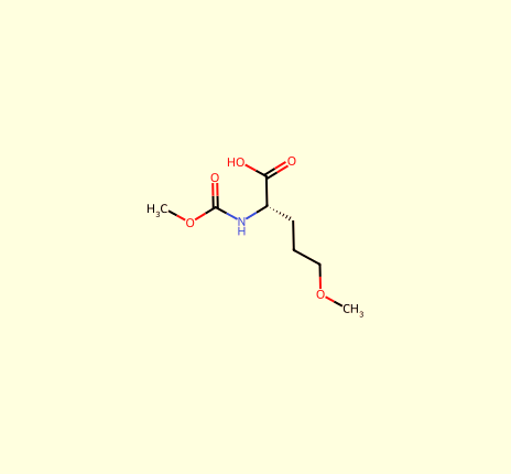 COCCC[C@H](NC(=O)OC)C(=O)O